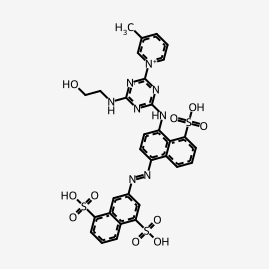 Cc1ccc[n+](-c2nc(NCCO)nc(Nc3ccc(N=Nc4cc(S(=O)(=O)O)c5cccc(S(=O)(=O)O)c5c4)c4cccc(S(=O)(=O)O)c34)n2)c1